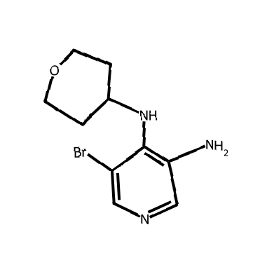 Nc1cncc(Br)c1NC1CCOCC1